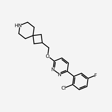 Fc1ccc(Cl)c(-c2ccc(OCC3CC4(CCNCC4)C3)nn2)c1